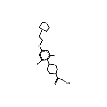 CC(C)(C)OC(=O)N1CCN(c2c(F)cc(OCCN3CCOCC3)cc2F)CC1